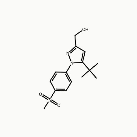 CC(C)(C)c1cc(CO)nn1-c1ccc(S(C)(=O)=O)cc1